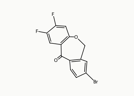 O=C1c2ccc(Br)cc2COc2cc(F)c(F)cc21